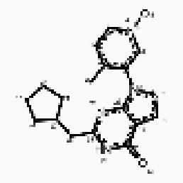 Cc1cc[n+]([O-])cc1-n1ncc2c(=O)[nH]c(CC3CCCC3)nc21